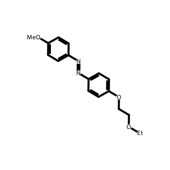 CCOCCOc1ccc(N=Nc2ccc(OC)cc2)cc1